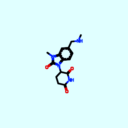 CNCc1ccc2c(c1)n(C)c(=O)n2C1CCC(=O)NC1=O